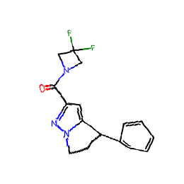 O=C(c1cc2n(n1)CCC2c1ccccc1)N1CC(F)(F)C1